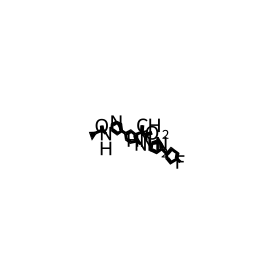 C=C(C(=O)Nc1ccc(-c2ccc(F)cc2)nc1)c1cc(-c2cncc(NC(=O)C3CC3)c2)ccc1N